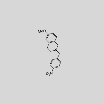 COc1ccc2c(c1)CCN(Cc1ccc([N+](=O)[O-])cc1)C2